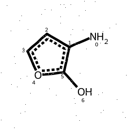 Nc1ccoc1O